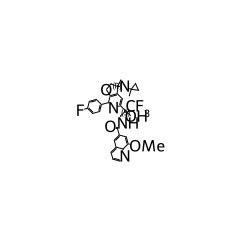 COc1cc(C(=O)NC[C@](O)(c2cc3c(c(-c4ccc(F)cc4)n2)OC[C@]32CN2C2(C)CC2)C(F)(F)F)cc2cccnc12